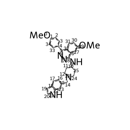 COc1ccc(-c2nnc(NC3CCN(Cc4ccc5cc[nH]c5c4)CC3)c3cc(OC)ccc23)cc1